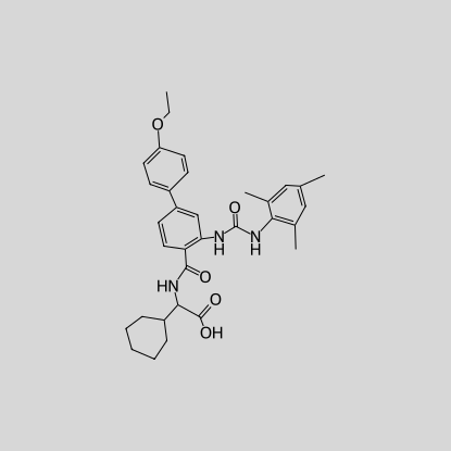 CCOc1ccc(-c2ccc(C(=O)NC(C(=O)O)C3CCCCC3)c(NC(=O)Nc3c(C)cc(C)cc3C)c2)cc1